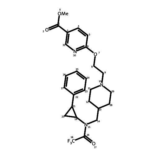 COC(=O)c1ccc(OCCN2CCC(CN(C(=O)C(F)(F)F)C3CC3c3ccccc3)CC2)nc1